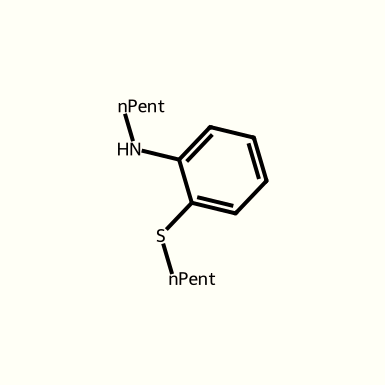 CCCCCNc1ccccc1SCCCCC